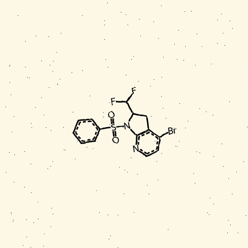 O=S(=O)(c1ccccc1)N1c2nccc(Br)c2CC1C(F)F